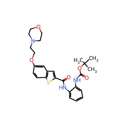 CC(C)(C)OC(=O)Nc1ccccc1NC(=O)c1cc2cc(OCCN3CCOCC3)ccc2s1